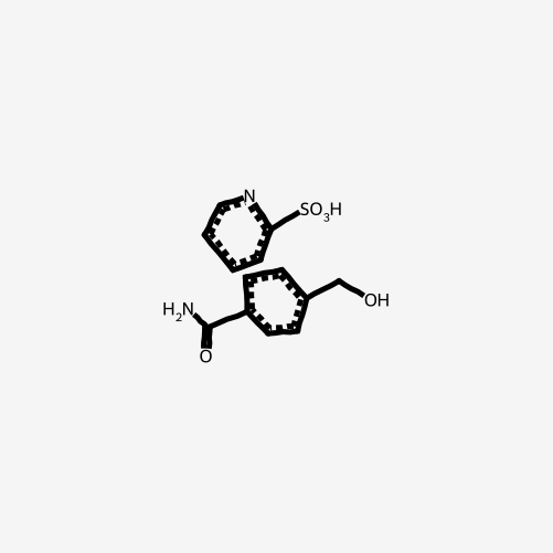 NC(=O)c1ccc(CO)cc1.O=S(=O)(O)c1ccccn1